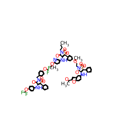 CCCCN1C(=O)C(Nc2ccc(OC)nc2)=C(c2ccccc2)S1(=O)=O.COCCN1C(=O)C(Nc2ccc3oc(C(C)=O)cc3c2)=C(c2ccccc2)S1(=O)=O.O=C1C(Nc2ccc(OC(F)F)cc2)=C(c2ccccc2)S(=O)(=O)N1Cc1ccc(OC(F)F)cc1